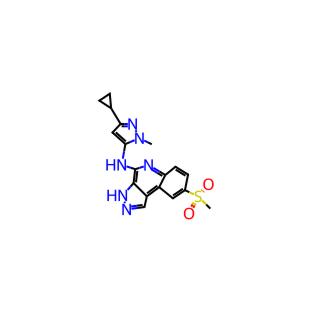 Cn1nc(C2CC2)cc1Nc1nc2ccc(S(C)(=O)=O)cc2c2cn[nH]c12